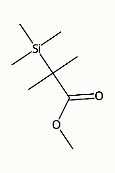 COC(=O)C(C)(C)[Si](C)(C)C